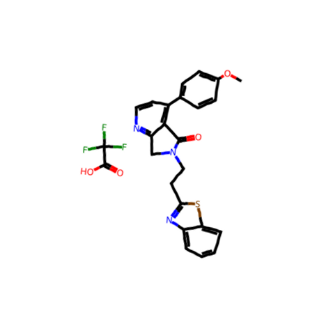 COc1ccc(-c2ccnc3c2C(=O)N(CCc2nc4ccccc4s2)C3)cc1.O=C(O)C(F)(F)F